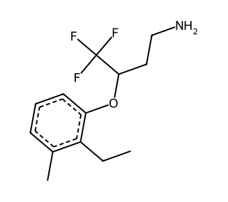 CCc1c(C)cccc1OC(CCN)C(F)(F)F